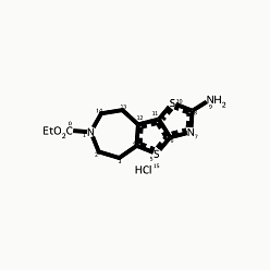 CCOC(=O)N1CCc2sc3nc(N)sc3c2CC1.Cl